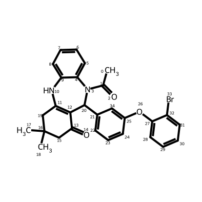 CC(=O)N1c2ccccc2NC2=C(C(=O)CC(C)(C)C2)C1c1cccc(Oc2ccccc2Br)c1